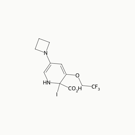 O=C(O)C1(I)NC=C(N2CCC2)C=C1OCC(F)(F)F